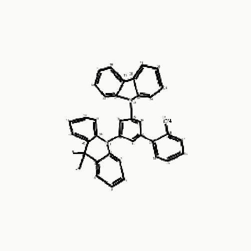 CC1(C)c2ccccc2N(c2cc(-c3ccccc3C#N)cc(-n3c4ccccc4c4ccccc43)c2)c2ccccc21